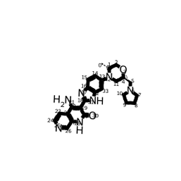 C[C@@H]1CO[C@@H](CN2CCCC2)CN1c1ccc2nc(-c3c(N)c4ccncc4[nH]c3=O)[nH]c2c1